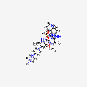 C=Cc1cnc(Nc2cc(CC)c(N3CCC(N4CCN(C)CC4)CC3)cc2OC(F)(F)F)nc1Nc1ccc2nccnc2c1NS(C)(=O)=O